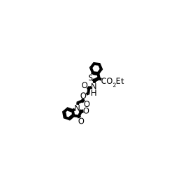 CCOC(=O)c1c(NC(=O)COC(=O)CN2C(=O)C(=O)c3ccccc32)sc2c1CCCC2